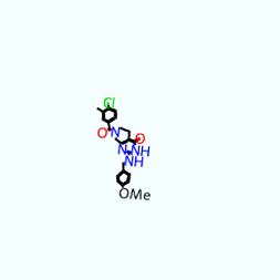 COc1ccc(CNc2nc3c(c(=O)[nH]2)CCN(C(=O)c2ccc(Cl)c(C)c2)C3)cc1